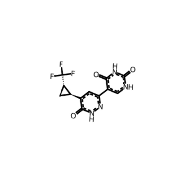 O=c1[nH]cc(-c2cc([C@H]3C[C@@H]3C(F)(F)F)c(=O)[nH]n2)c(=O)[nH]1